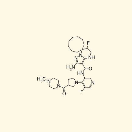 CN1CCN(C(=O)C2CCN(c3c(F)cncc3NC(=O)c3c(N)nn4c3NCC(F)C43CCCCCCCC3)C2)CC1